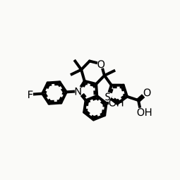 CC1(C)COC(C)(c2cc(C(=O)O)cs2)c2c1n(-c1ccc(F)cc1)c1cccc(O)c21